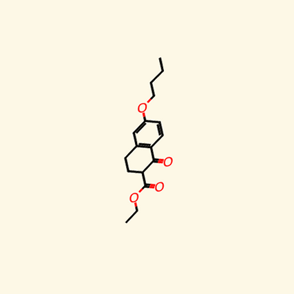 CCCCOc1ccc2c(c1)CCC(C(=O)OCC)C2=O